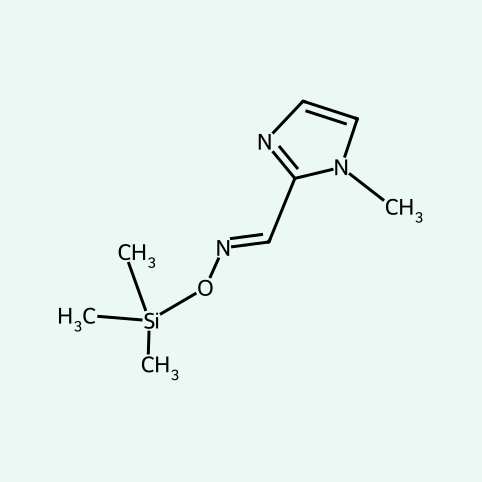 Cn1ccnc1C=NO[Si](C)(C)C